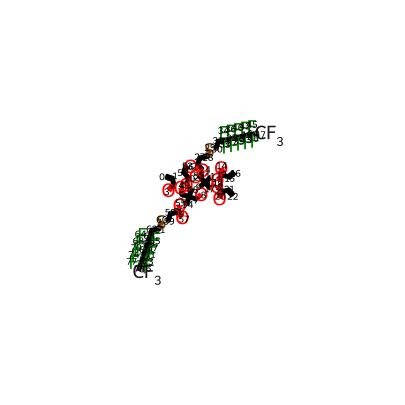 C=CC(=O)OCC(COCC(COC(=O)C=C)(COC(=O)C=C)COC(=O)CCSCCC(F)(F)C(F)(F)C(F)(F)C(F)(F)C(F)(F)C(F)(F)F)(COC(=O)C=C)COC(=O)CCSCCC(F)(F)C(F)(F)C(F)(F)C(F)(F)C(F)(F)C(F)(F)F